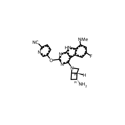 CNc1cc(F)cc2c1[nH]c1nc(Oc3ccc(C#N)nc3)nc(N3C[C@H]4C3C[C@H]4N)c12